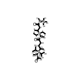 CC[Si](CC)(C(C)CC(=O)N(C)[Si](C)(C)C)N(C)C(=O)CCC(C)[Si](C(C)C)(C(C)C)N(C)C(C)=O